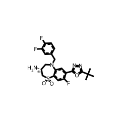 CC(C)(C)c1nnc(-c2cc3c(cc2F)S(=O)(=O)C[C@H](N)CN3Cc2ccc(F)c(F)c2)o1